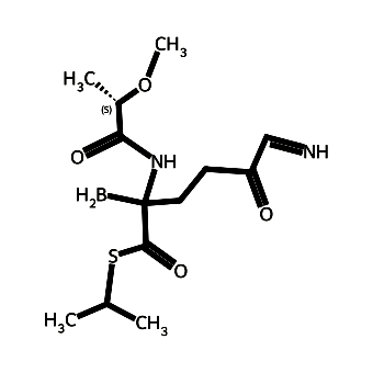 BC(CCC(=O)C=N)(NC(=O)[C@H](C)OC)C(=O)SC(C)C